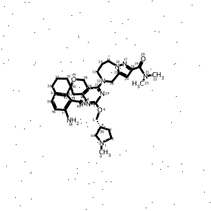 CN1CC[C@@H](COc2nc3c(c(N4CCCn5nc(C(=O)N(C)C)cc5C4)n2)COC2(CCCc4ccc(N)c(C#N)c42)C3)C1